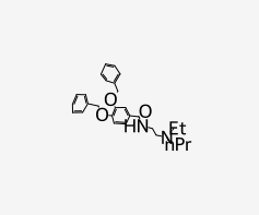 CCCN(CC)CCNC(=O)c1ccc(OCc2ccccc2)c(OCc2ccccc2)c1